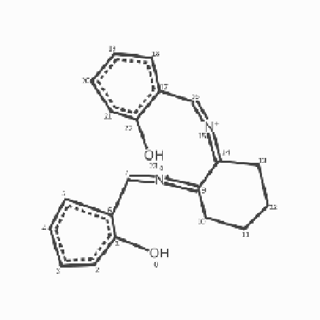 Oc1ccccc1C=[N+]=C1CCCCC1=[N+]=Cc1ccccc1O